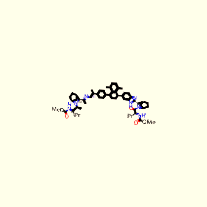 COC(=O)N[C@@H](C(C)C)C(C)N1C2CCC(C2)[C@H]1/C(C)=N/C=C(\C)c1ccc(-c2ccc(-c3ccc4nc([C@@H]5C6CCC(C6)N5C(=O)[C@@H](NC(=O)OC)C(C)C)[nH]c4c3)c3c(C)ccc(C)c23)cc1